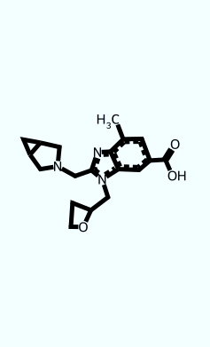 Cc1cc(C(=O)O)cc2c1nc(CN1CC3CC3C1)n2CC1CCO1